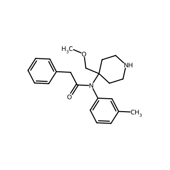 COCC1(N(C(=O)Cc2ccccc2)c2cccc(C)c2)CCNCC1